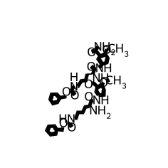 COc1ccc(NC(=O)[C@H](CCCCNC(=O)OCc2ccccc2)NC(=O)c2cc(NC(=O)C(N)CCCCNC(=O)OCc3ccccc3)ccc2OC)cc1C(N)=O